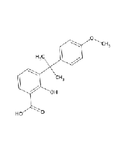 COc1ccc(C(C)(C)c2cccc(C(=O)O)c2O)cc1